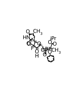 Cc1cn([C@@H]2O[C@H](CO[P@](=O)(N[C@H](C)C(=O)OC(C)C)Oc3ccccc3)[C@@H](O)[C@]2(F)Cl)c(=O)[nH]c1=O